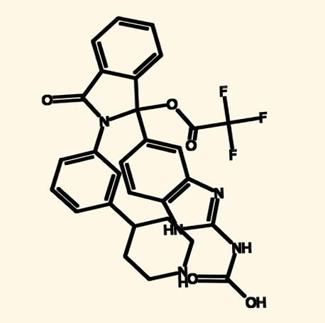 O=C(O)Nc1nc2cc(C3(OC(=O)C(F)(F)F)c4ccccc4C(=O)N3c3cccc(C4CCNCC4)c3)ccc2[nH]1